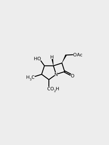 CC(=O)OC[C@H]1C(=O)N2C(C(=O)O)C(C)C(O)[C@H]12